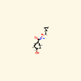 O=C(NOCC1CC1)c1ccc(O)cc1